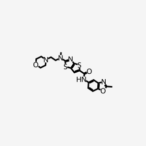 Cc1nc2cc(NC(=O)c3cc4sc(N(C)CCN5CCOCC5)nc4s3)ccc2o1